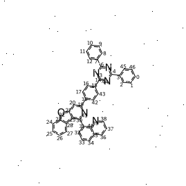 c1ccc(-c2nc(-c3ccccc3)nc(-c3ccc(-c4cc5oc6ccccc6c5c(-c5cccc6cccnc56)n4)cc3)n2)cc1